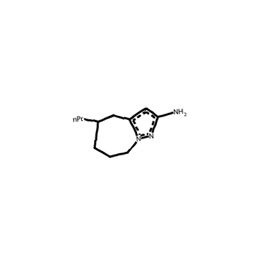 CCCC1CCCn2nc(N)cc2C1